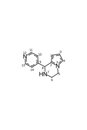 c1cc2n(c1)CCNC2c1ccncc1